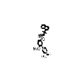 COc1ccc(S(=O)(=O)NCC(C)(C)c2cccc3ccccc23)cc1N1CCN(C(=O)C(Cl)(Cl)Cl)CC1